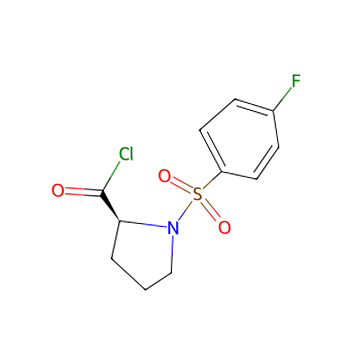 O=C(Cl)[C@@H]1CCCN1S(=O)(=O)c1ccc(F)cc1